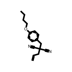 C=CCC(C#N)(C#N)Cc1ccc(OCCCC)cc1